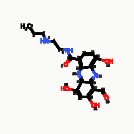 CCCNCCNC(=O)c1ccc(O)c2nc3c(C=O)c(O)cc(O)c3nc12